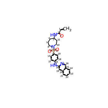 C=CC(=O)NC1CCCN(S(=O)(=O)c2ccc(Nc3cc4ccccc4cn3)cc2)CC1